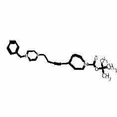 CC(C)(C)OC(=O)N1CCC(C#CCCN2CCN(Cc3ccccc3)CC2)CC1